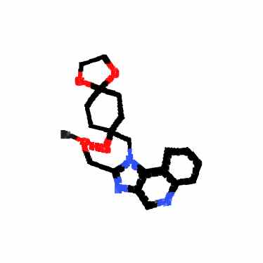 CCOCc1nc2cnc3ccccc3c2n1CC1(O)CCC2(CC1)OCCO2